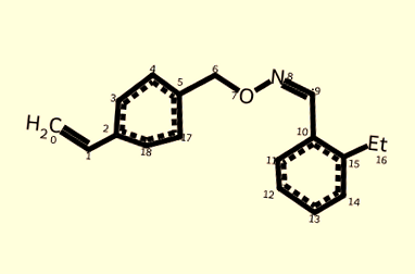 C=Cc1ccc(CO/N=[C]\c2ccccc2CC)cc1